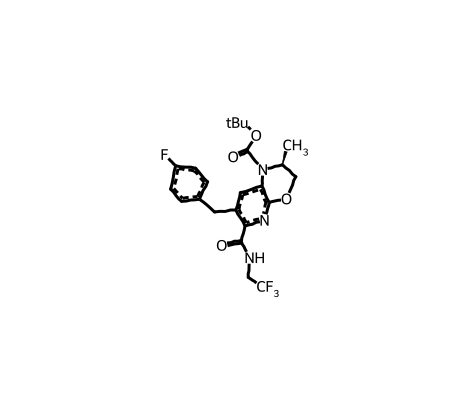 C[C@H]1COc2nc(C(=O)NCC(F)(F)F)c(Cc3ccc(F)cc3)cc2N1C(=O)OC(C)(C)C